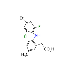 CCc1cc(F)c(Nc2ccc(C)cc2CC(=O)O)c(Cl)c1